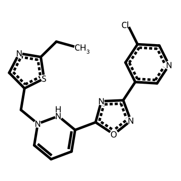 CCc1ncc(CN2C=CC=C(c3nc(-c4cncc(Cl)c4)no3)N2)s1